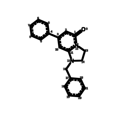 O=c1cc(-c2ccccc2)cc2n1CCN2Cc1ccccc1